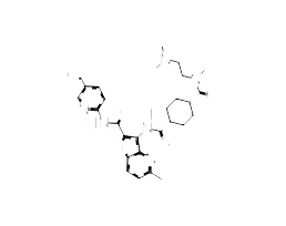 Cc1ccc2oc(C(=O)Nc3ccc(Cl)cn3)c(NC(=O)[C@H]3CC[C@H](C(=O)N(C)CCN(C)C)CC3)c2n1